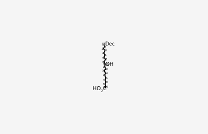 CCCCCCCCCCCCCCCCCCC(O)CCCCCCCCCCC(=O)O